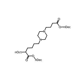 CCCCCCCCCCOC(=O)CCCN1CCN(CCCCC(CCCCCCCC)C(=O)OCCCCCCCCCC)CC1